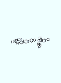 CN1CCNC1=Nc1ccc(N2CCN(c3ccc(OC[C@@H]4CO[C@@](Cn5cncn5)(c5ccc(Cl)cc5Cl)O4)cc3)CC2)cc1